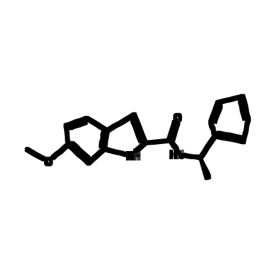 COc1ccc2cc(C(=O)N[C@H](C)c3ccccc3)[nH]c2c1